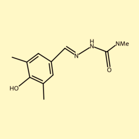 CNC(=O)N/N=C/c1cc(C)c(O)c(C)c1